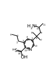 CCCc1cc(C(C)(C)CC(C)N)cnc1C(O)=S